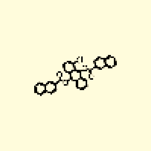 O=C(Oc1c2ccccc2c(OC(=O)c2ccc3ccccc3c2)c2c(Cl)cccc12)c1ccc2ccccc2c1